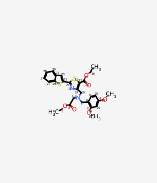 CCOC(=O)CN(Cc1ccc(OC)cc1OC)Cc1nc(-c2cc3ccccc3s2)sc1C(=O)OCC